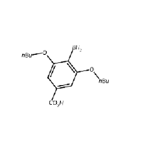 Bc1c(OCCCC)cc(C(=O)O)cc1OCCCC